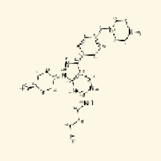 CN1CCN(Cc2ccc(-c3nn([C@H]4CC[C@H](O)CC4)c4nc(NCCCF)ncc34)cc2)CC1